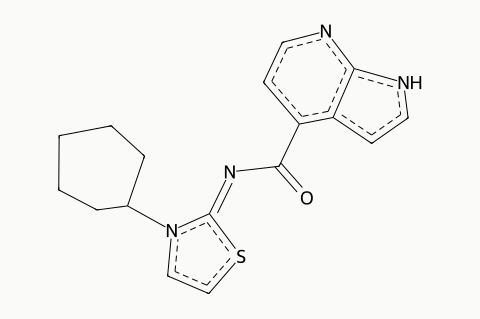 O=C(/N=c1\sccn1C1CCCCC1)c1ccnc2[nH]ccc12